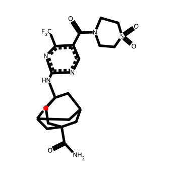 NC(=O)C12CCC3(Nc4ncc(C(=O)N5CCS(=O)(=O)CC5)c(C(F)(F)F)n4)CC(CC(C3)C1)C2